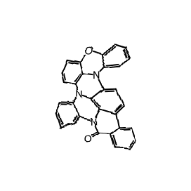 O=c1c2ccccc2c2ccc3c4c2n1c1ccccc1n-4c1cccc2oc4ccccc4n3-c21